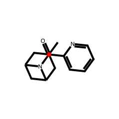 CC1CC2CC(C1)N2C(=O)c1ccccn1